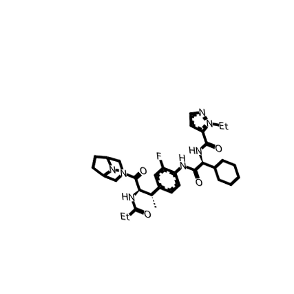 CCC(=O)N[C@@H](C(=O)N1CC2CCC(C1)N2C)[C@@H](C)c1ccc(NC(=O)[C@@H](NC(=O)c2ccnn2CC)C2CCCCC2)c(F)c1